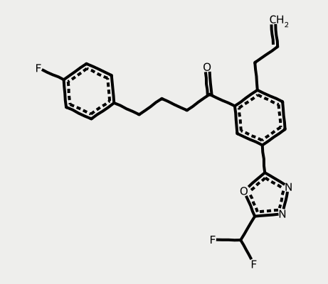 C=CCc1ccc(-c2nnc(C(F)F)o2)cc1C(=O)CCCc1ccc(F)cc1